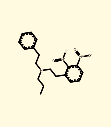 CCCN(CCc1ccccc1)CCc1cccc([N+](=O)[O-])c1[N+](=O)[O-]